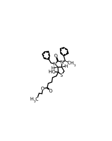 CCCOC(=O)CCCCC1(O)SC[C@@H]2[C@H]1N(Cc1ccccc1)C(=O)N2[C@H](C)c1ccccc1